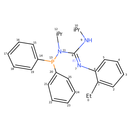 CCc1ccccc1/N=C(\NC(C)C)N(C(C)C)P(c1ccccc1)c1ccccc1